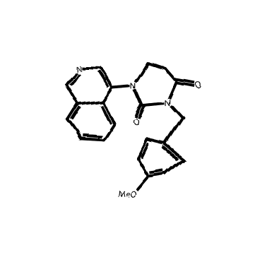 COc1ccc(CN2C(=O)CCN(c3cncc4ccccc34)C2=O)cc1